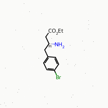 CCOC(=O)C[C@H](N)Cc1ccc(Br)cc1